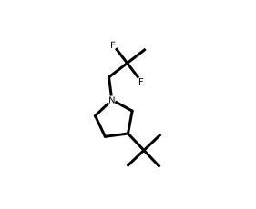 CC(F)(F)CN1CCC(C(C)(C)C)C1